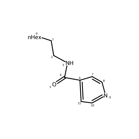 CCCCCCCCNC(=O)c1ccncc1